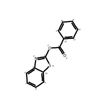 O=C(Oc1nc2ccccc2s1)c1ccccc1